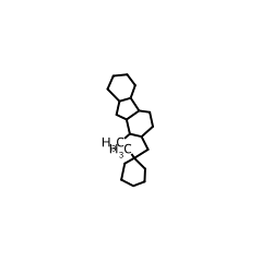 CC1C(CC2(C)CCCCC2)CCC2C3CCCCC3CC12